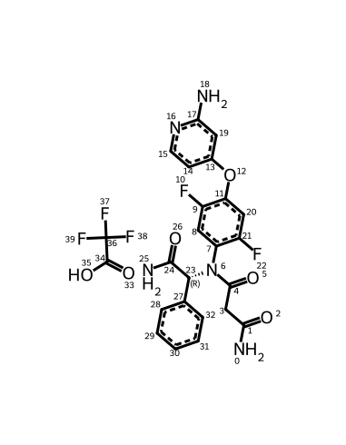 NC(=O)CC(=O)N(c1cc(F)c(Oc2ccnc(N)c2)cc1F)[C@@H](C(N)=O)c1ccccc1.O=C(O)C(F)(F)F